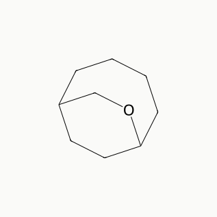 C1CCC2CCC(C1)CO2